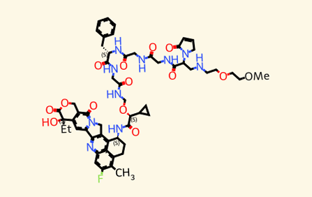 CC[C@@]1(O)C(=O)OCc2c1cc1n(c2=O)Cc2c-1nc1cc(F)c(C)c3c1c2[C@@H](NC(=O)[C@@H](OCNC(=O)CNC(=O)[C@H](Cc1ccccc1)NC(=O)CNC(=O)CNC(=O)C(CNCCOCCOC)N1CC=CC1=O)C1CC1)CC3